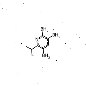 Bc1cc(B)c(C(C)C)nc1B